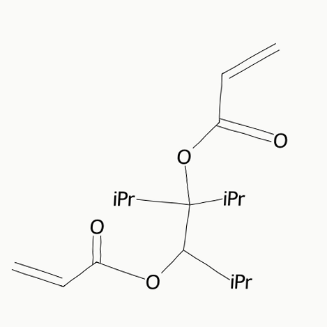 C=CC(=O)OC(C(C)C)C(OC(=O)C=C)(C(C)C)C(C)C